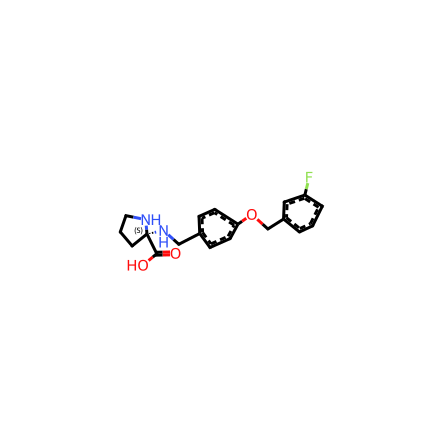 O=C(O)[C@@]1(NCc2ccc(OCc3cccc(F)c3)cc2)CCCN1